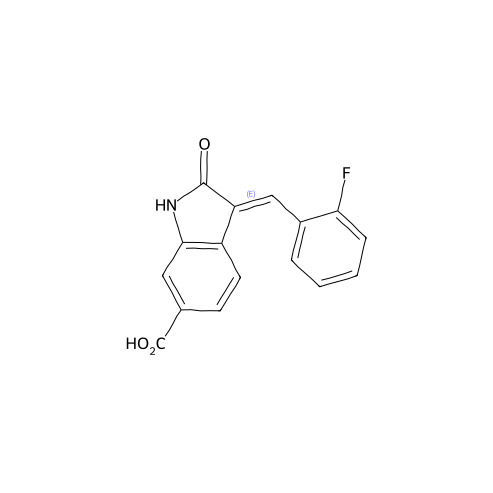 O=C1Nc2cc(C(=O)O)ccc2/C1=C\c1ccccc1F